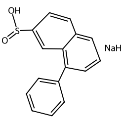 O=S(O)c1ccc2cccc(-c3ccccc3)c2c1.[NaH]